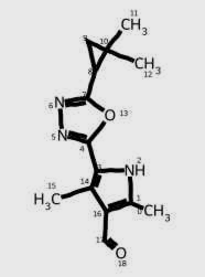 Cc1[nH]c(-c2nnc(C3CC3(C)C)o2)c(C)c1C=O